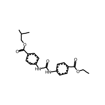 CCOC(=O)c1ccc(NC(=O)Nc2ccc(C(=O)OCC(C)C)cc2)cc1